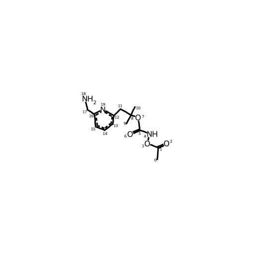 CC(=O)ONC(=O)OC(C)(C)Cc1cccc(CN)n1